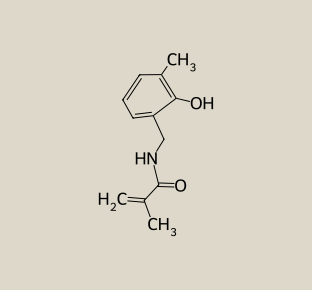 C=C(C)C(=O)NCc1cccc(C)c1O